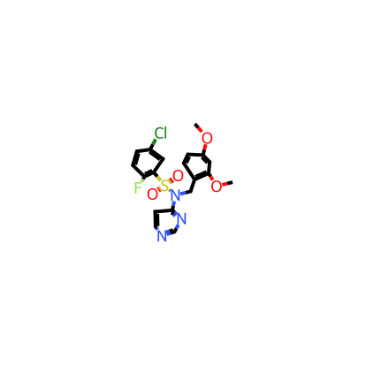 COc1ccc(CN(c2ccncn2)S(=O)(=O)c2cc(Cl)ccc2F)c(OC)c1